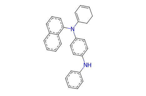 C1=CCCC(N(c2ccc(Nc3ccccc3)cc2)c2cccc3ccccc23)=C1